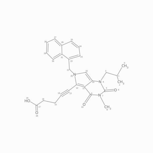 CC(C)Cn1c(=O)n(C)c(=O)c2c(C#CCCC(=O)O)n(Cc3cccc4ccccc34)cc21